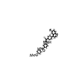 COC1CCC(NC(=O)c2ccc3[nH]c(C(C)C4CCC(c5ccnc6ccc(F)cc56)CC4)nc3c2)CC1